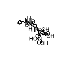 NC(CCc1ccccc1)C(=O)NNC(=O)c1ccc(CNC(=O)CN(CCN(CC(=O)O)CC(=O)O)CCN(CC(=O)O)CC(=O)O)cc1